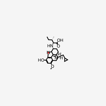 CC[C@H](C)[C@H](N[C@@H]1CC[C@H]2[C@H]3Cc4c(OC)cc(O)c5c4[C@@]2(CCN3CC2CC2)[C@H]1O5)C(=O)O